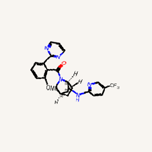 COc1cccc(-c2ncccn2)c1C(=O)N1C[C@@H]2CC[C@H]1[C@H](Nc1ccc(C(F)(F)F)cn1)C2